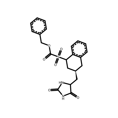 O=C1NC(=O)C(C[C@@H]2Cc3ccccc3C(S(=O)(=O)C(=O)OCc3ccccc3)C2)N1